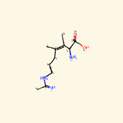 CC(=N)NCCC/C(C)=C(/C)C(N)C(=O)O